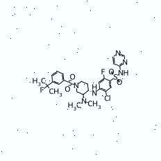 CN(C)[C@H]1CN(S(=O)(=O)c2cccc(C(C)(C)F)c2)CC[C@@H]1Nc1cc(F)c(S(=O)(=O)Nc2ccncn2)cc1Cl